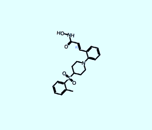 Cc1ccccc1S(=O)(=O)C1CCN(c2ccccc2/C=C/C(=O)NO)CC1